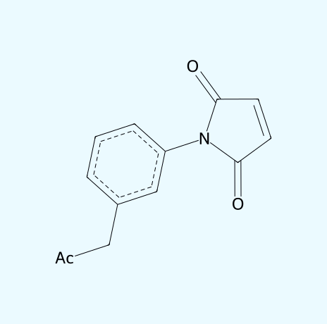 CC(=O)Cc1cccc(N2C(=O)C=CC2=O)c1